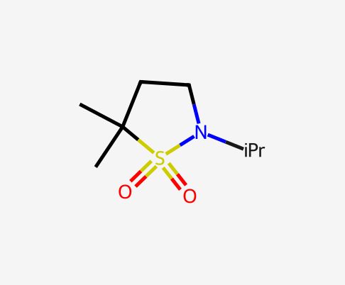 CC(C)N1CCC(C)(C)S1(=O)=O